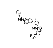 Cc1ccc(C(=O)Nc2cc(C(F)(F)F)ccc2F)cc1-c1ccc2nc(NCCN3CCCCC3)ncc2c1